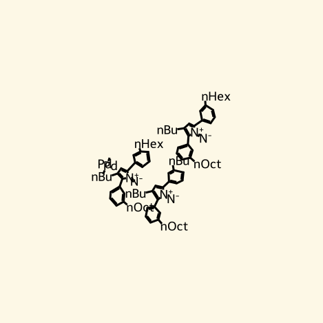 CCCCCCCCc1cccc(C2=C(CCCC)C=C(c3cccc(CCCC)c3)[N+]2=[N-])c1.CCCCCCCCc1cccc(C2=C(CCCC)C=C(c3cccc(CCCCCC)c3)[N+]2=[N-])c1.CCCCCCCCc1cccc(C2=C(CCCC)C=C(c3cccc(CCCCCC)c3)[N+]2=[N-])c1.[CH3][Pd][CH3].[Pd]